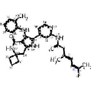 C/C(F)=C\C=C(/C)CC(=O)Nc1cc(-c2[nH]c3c(c2Nc2ccccc2C)C(=O)NC2(CCC2)C3)ccn1